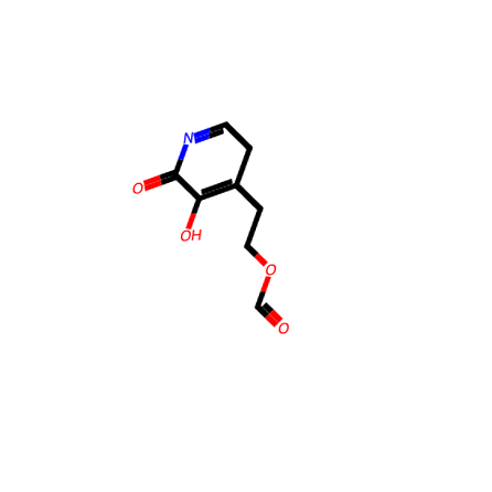 O=COCCC1=C(O)C(=O)N=CC1